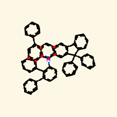 c1ccc(-c2cccc(N(c3ccc4c(c3)C(c3ccccc3)(c3ccccc3)c3ccccc3-4)c3cccc(-c4ccccc4)c3-c3ccccc3-c3ccccc3)c2)cc1